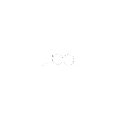 COc1cc2nc(C#N)ccc2cc1C